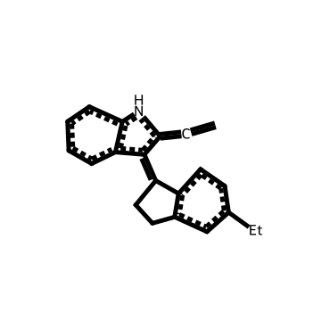 C=C=c1[nH]c2ccccc2/c1=C1\CCc2cc(CC)ccc21